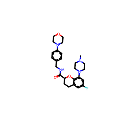 CN1CCN(c2cc(F)cc3c2OC(C(=O)NCc2ccc(N4CCOCC4)cc2)CC3)CC1